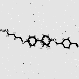 C=CC1CCC(COc2ccc(-c3ccc(OCCCCOC)cc3)c(F)c2F)CC1